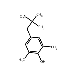 Cc1cc(CC(C)(C)[N+](=O)[O-])cc(C)c1O